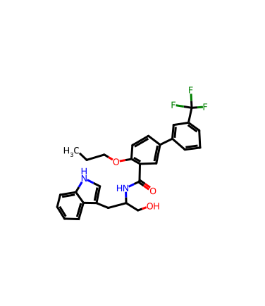 CCCOc1ccc(-c2cccc(C(F)(F)F)c2)cc1C(=O)NC(CO)Cc1c[nH]c2ccccc12